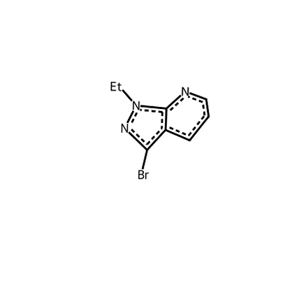 CCn1nc(Br)c2cccnc21